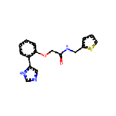 O=C(COc1ccccc1-c1cnc[nH]1)NCc1cccs1